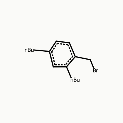 CCCCc1ccc(CBr)c(CCCC)c1